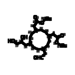 CC(C)(C)OC(=O)CN1CCN(CC=O)CCN(CC(O)CO)CCN(CC(=O)OC(C)(C)C)CC1